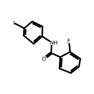 O=C(Nc1ccc(I)cc1)c1ccccc1F